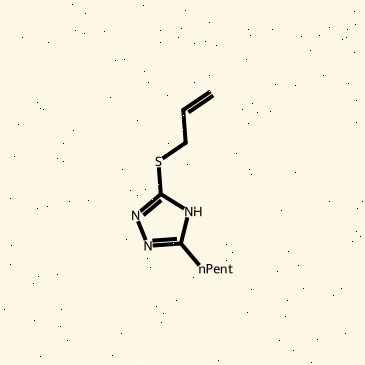 C=CCSc1nnc(CCCCC)[nH]1